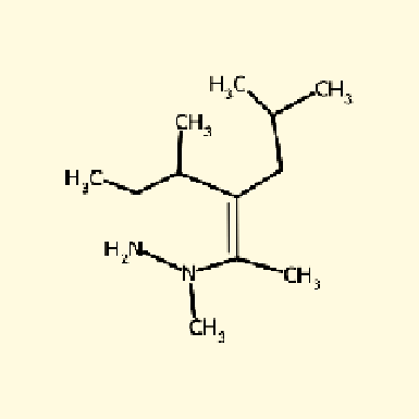 CCC(C)/C(CC(C)C)=C(/C)N(C)N